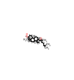 CC(C)=CCC[C@]1(C)O[C@@]12CC[C@@]1(C)[C@H]2CC[C@H]2[C@@]3(C)CC[C@H](O)C(C)(C)[C@@H]3CC[C@@]21C